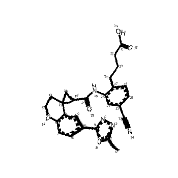 Cc1nnc(-c2ccc3c(c2)C2(CCO3)CC2C(=O)Nc2cc(C#N)ccc2CCCC(=O)O)o1